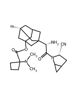 CN(C)C1(C(=O)OC23CC4C[C@H](C2)CC([C@H](N)C(=O)N2C5CC5C[C@H]2C#N)(C4)C3)CCC1